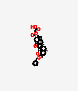 CC1(C)[C@@H](C(=O)OCC(=O)O)CC[C@]2(C)[C@H]3C(=O)C=C4[C@@H]5C[C@@](C)(C(=O)OCc6ccccc6)CC[C@]5(C)CC[C@@]4(C)[C@]3(C)CC[C@@H]12